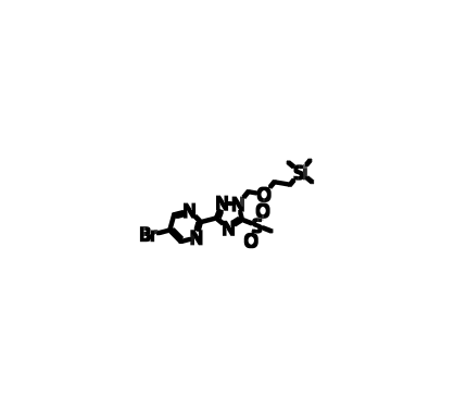 C[Si](C)(C)CCOCn1nc(-c2ncc(Br)cn2)nc1S(C)(=O)=O